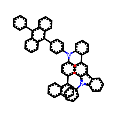 c1ccc(-c2c3ccccc3c(-c3ccc(N(c4ccc(-c5cccc6ccccc56)cc4)c4ccccc4-c4ccc5c(c4)c4ccccc4n5-c4ccccc4)cc3)c3ccccc23)cc1